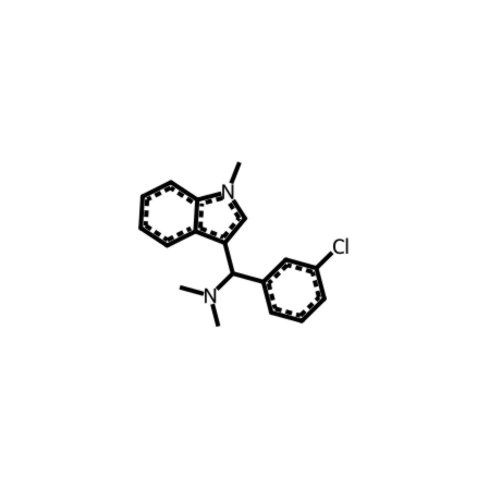 CN(C)C(c1cccc(Cl)c1)c1cn(C)c2ccccc12